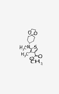 COC(=O)c1csc(N(C)C2CCC3(CC2)OCCO3)c1C